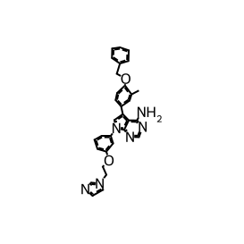 Cc1cc(-c2cn(-c3cccc(OCCn4ccnc4)c3)c3ncnc(N)c23)ccc1OCc1ccccc1